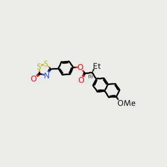 CC[C@H](C(=O)Oc1ccc(-c2nc(=O)ss2)cc1)c1ccc2cc(OC)ccc2c1